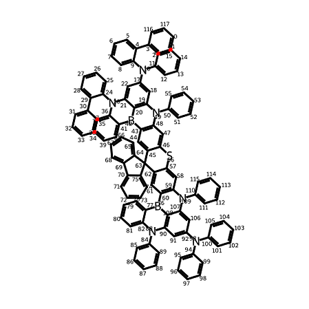 c1ccc(-c2ccccc2N(c2ccccc2)c2cc3c4c(c2)N(c2ccccc2-c2ccccc2)c2ccccc2B4c2cc4c(cc2N3c2ccccc2)Sc2cc3c(cc2C42c4ccccc4-c4ccccc42)B2c4ccccc4N(c4ccccc4)c4cc(N(c5ccccc5)c5ccccc5)cc(c42)N3c2ccccc2)cc1